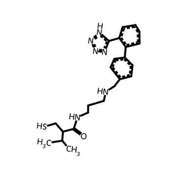 CC(C)C(CS)C(=O)NCCCNCc1ccc(-c2ccccc2-c2nnn[nH]2)cc1